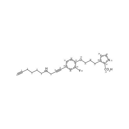 C#CCCCCNCC#Cc1ccc(OCCCc2scnc2C(=O)O)c(F)c1